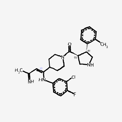 CC(=N)/C=C(\Nc1ccc(F)c(Cl)c1)C1CCN(C(=O)[C@@H]2CNC[C@H]2c2ccccc2C)CC1